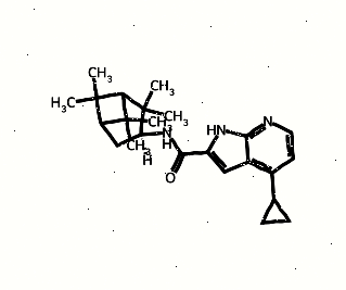 CC1(C)C2C[C@H](NC(=O)c3cc4c(C5CC5)ccnc4[nH]3)C(C)(C)C1C2(C)C